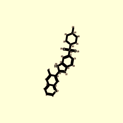 Cc1cc2cccnc2cc1-c1nc2ccc(S(=O)(=O)N3CCN(C)CC3)cc2[nH]1